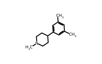 Cc1cc(C)cc(C2CCN(C)CC2)c1